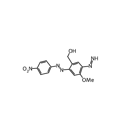 COc1cc(N=Nc2ccc([N+](=O)[O-])cc2)c(CO)cc1N=N